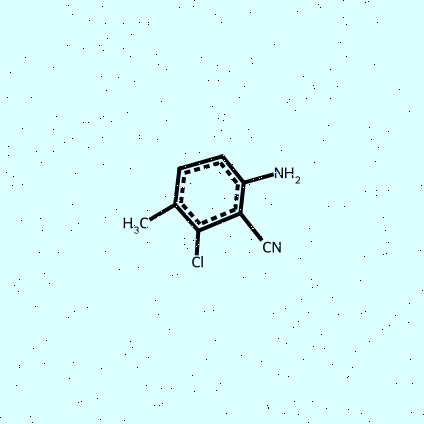 Cc1ccc(N)c(C#N)c1Cl